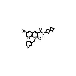 O=C(NC1CC2(CCC2)C1)c1cc2cc(Br)cnc2n(Cc2cccnc2)c1=O